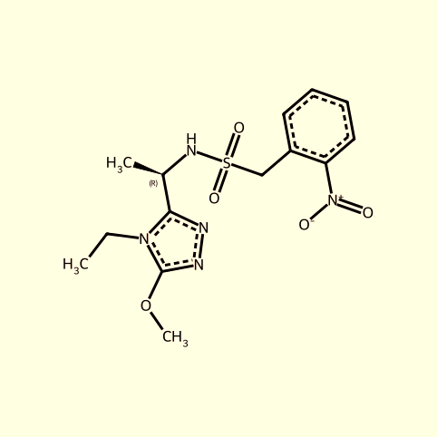 CCn1c(OC)nnc1[C@@H](C)NS(=O)(=O)Cc1ccccc1[N+](=O)[O-]